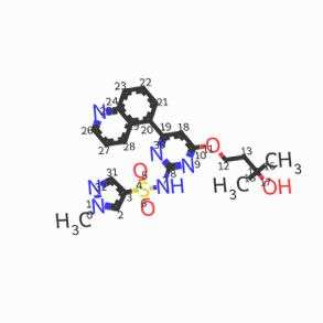 Cn1cc(S(=O)(=O)Nc2nc(OCCC(C)(C)O)cc(-c3cccc4ncccc34)n2)cn1